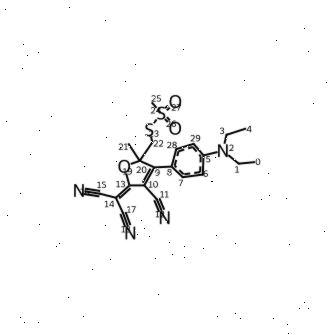 CCN(CC)c1ccc(C2=C(C#N)C(=C(C#N)C#N)OC2(C)CSS(C)(=O)=O)cc1